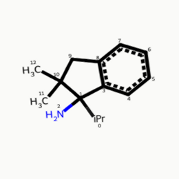 CC(C)C1(N)c2ccccc2CC1(C)C